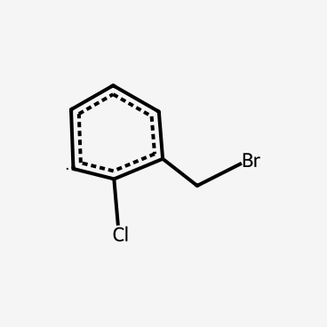 Clc1[c]cccc1CBr